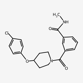 CNC(=O)c1cccc(C(=O)N2CCC(Oc3ccc(Cl)cc3)CC2)c1